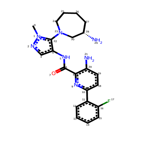 Cn1ncc(NC(=O)c2nc(-c3ccccc3F)ccc2N)c1N1CCCC[C@H](N)C1